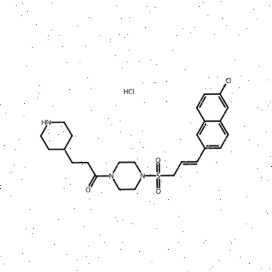 Cl.O=C(CCC1CCNCC1)N1CCN(S(=O)(=O)CC=Cc2ccc3cc(Cl)ccc3c2)CC1